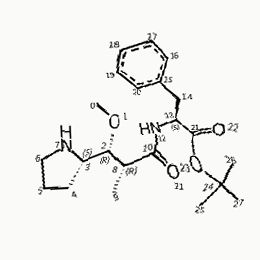 CO[C@@H]([C@@H]1CCCN1)[C@@H](C)C(=O)N[C@@H](Cc1ccccc1)C(=O)OC(C)(C)C